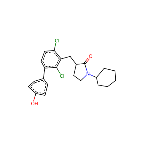 O=C1C(Cc2c(Cl)ccc(-c3ccc(O)cc3)c2Cl)CCN1C1CCCCC1